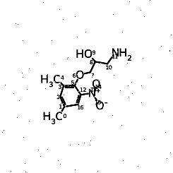 Cc1cc(C)c(OCC(O)CN)c([N+](=O)[O-])c1